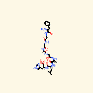 CC(C)C[C@H](NC(=O)[C@H](C)NC(=O)CNC(=O)[C@H](C)NC(=O)CNC(=O)CNC(=O)[C@@H](N)Cc1ccccc1)C(=O)N[C@@H](Cc1c[nH]cn1)C(=O)O